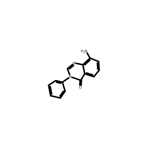 Nc1cccc2c(=O)n(-c3ccccc3)cnc12